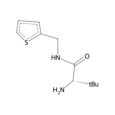 CC(C)(C)[C@H](N)C(=O)NCc1cccs1